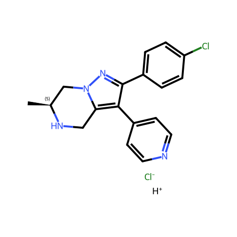 C[C@H]1Cn2nc(-c3ccc(Cl)cc3)c(-c3ccncc3)c2CN1.[Cl-].[H+]